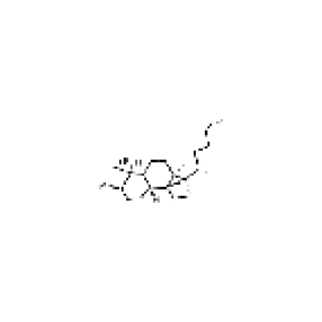 CCC[C@@]1(C)[C@H](C(C)C)CC[C@@H]2[C@@H]1CC[C@@]1(C)[C@H]([C@@H](C)CCCC(C)C)CC[C@]21C